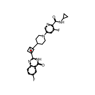 O=C(NC1CC1)c1ncc(N2CCC(N3CC4(c5nc6ccc(F)cc6c(=O)[nH]5)CC3C4)CC2)cc1F